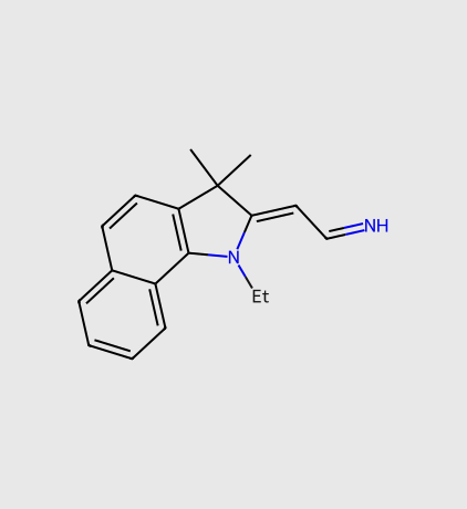 CCN1/C(=C\C=N)C(C)(C)c2ccc3ccccc3c21